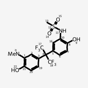 CNc1cc(C(c2ccc(O)c(NS(C)(=O)=O)c2)(C(F)(F)F)C(F)(F)F)ccc1O